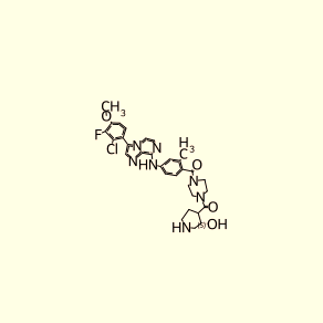 COc1ccc(-c2cnc3c(Nc4ccc(C(=O)N5CCN(C(=O)C6CCNC[C@H]6O)CC5)c(C)c4)nccn23)c(Cl)c1F